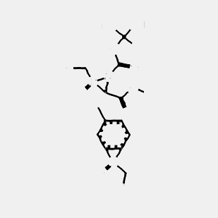 CCP1(=O)c2ccc(C[C@@]3(C(=O)OC)N(C(=O)OC(C)(C)C)P3(=O)CC)cc21